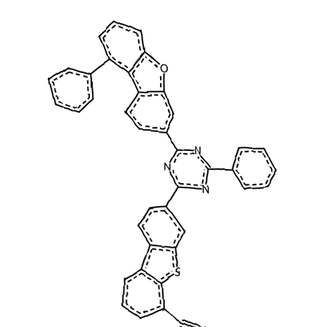 N#Cc1cccc2c1sc1cc(-c3nc(-c4ccccc4)nc(-c4ccc5c(c4)oc4cccc(-c6ccccc6)c45)n3)ccc12